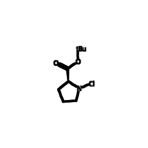 CC(C)(C)OC(=O)[C@@H]1CCCN1Cl